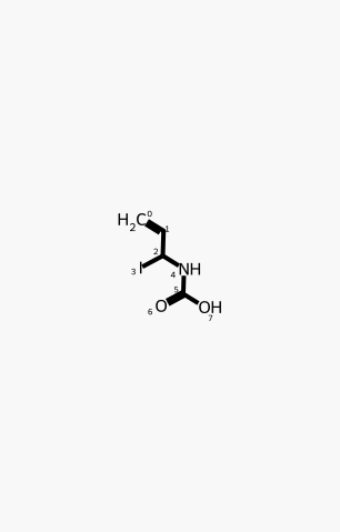 C=CC(I)NC(=O)O